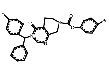 O=C(Oc1ccc(Br)cc1)N1CCc2c(ncn(C(c3ccccc3)c3ccc(F)cc3)c2=O)C1